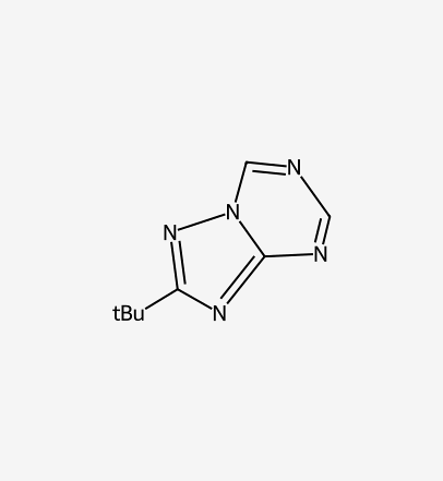 CC(C)(C)c1nc2ncncn2n1